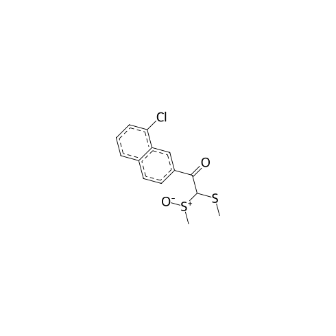 CSC(C(=O)c1ccc2cccc(Cl)c2c1)[S+](C)[O-]